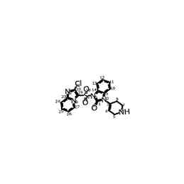 O=c1n(C2=CCNCC2)c2ccccc2n1S(=O)(=O)c1c(Cl)nc2ccccn12